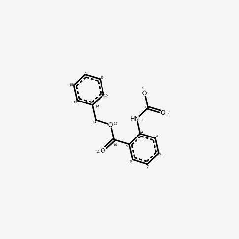 [O]C(=O)Nc1ccccc1C(=O)OCc1ccccc1